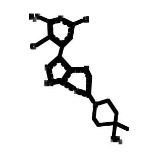 CC1(N)CCN(c2cnc3c(-c4cc(Cl)nc(N)c4Cl)n[nH]c3n2)CC1